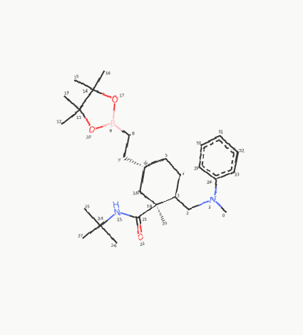 CN(CC1CC[C@@H](CCB2OC(C)(C)C(C)(C)O2)C[C@]1(C)C(=O)NC(C)(C)C)c1ccccc1